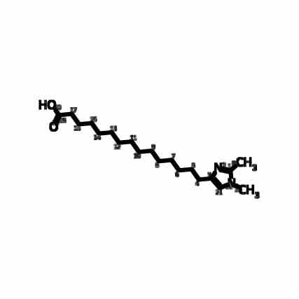 Cc1nc(CCCCCCCCCCCCCCC(=O)O)cn1C